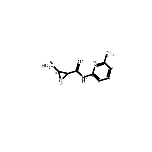 Cc1cccc(NC(=O)C2OC2C(=O)O)n1